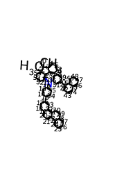 CC1(C)c2ccccc2-c2c(N(c3ccc(-c4ccc5ccc6c7ccccc7ccc6c5c4)cc3)c3cccc(-c4cccc5ccccc45)c3)cccc21